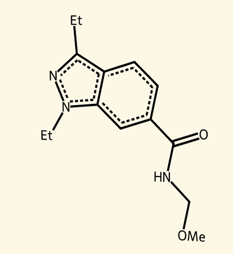 CCc1nn(CC)c2cc(C(=O)NCOC)ccc12